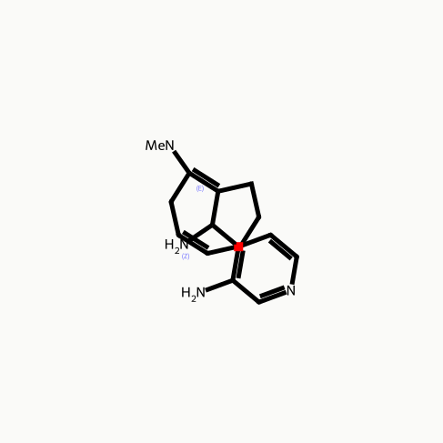 CN/C1=C(/C(N)c2ccncc2N)CCC/C=C\C1